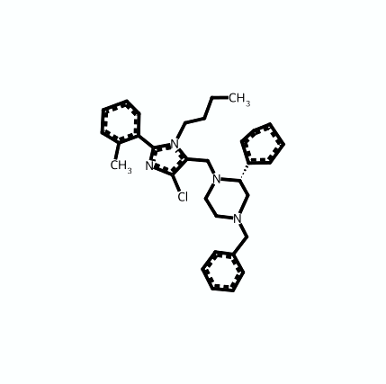 CCCCn1c(-c2ccccc2C)nc(Cl)c1CN1CCN(Cc2ccccc2)C[C@H]1c1ccccc1